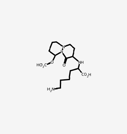 NCCCCC(NC1CCN2CCCC(OC(=O)O)N2C1=O)C(=O)O